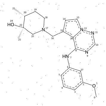 COc1cccc(Nc2ncnn3ccc(CN4CC[C@@H](C)[C@](C)(O)C4)c23)c1